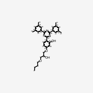 CCCCOCC(O)COc1ccc(-c2nc(-c3cc(C)cc(C)c3)nc(-c3cc(C)cc(C)c3)n2)c(O)c1